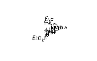 CCOC(=O)C1CCN(C(=O)C2SCCN2C(=O)CC(Cc2cc(F)c(F)cc2F)NC(=O)OC(C)(C)C)CC1